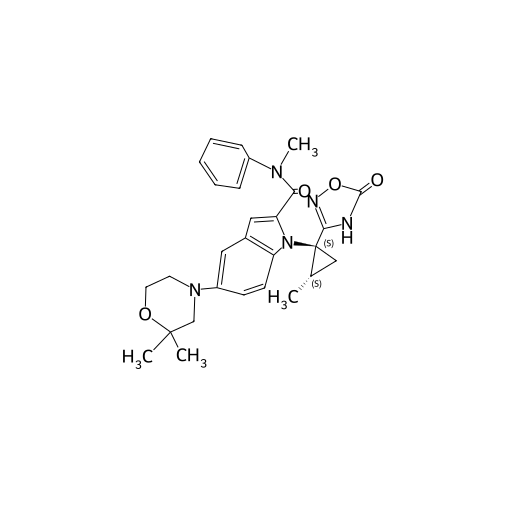 C[C@H]1C[C@]1(c1noc(=O)[nH]1)n1c(C(=O)N(C)c2ccccc2)cc2cc(N3CCOC(C)(C)C3)ccc21